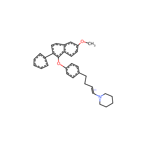 COc1ccc2c(Oc3ccc(CC/C=C/N4CCCCC4)cc3)c(-c3ccccc3)ccc2c1